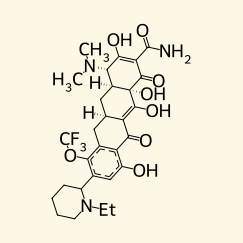 CCN1CCCCC1c1cc(O)c2c(c1OC(F)(F)F)C[C@H]1C[C@H]3[C@H](N(C)C)C(O)=C(C(N)=O)C(=O)[C@@]3(O)C(O)=C1C2=O